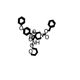 O=C(OCc1ccccc1)N1CCC(C(=O)NOC2CCCCO2)(S(=O)(=O)c2ccc(Oc3ccccc3)cc2)CC1